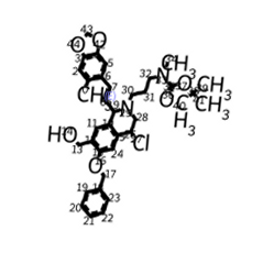 Cc1cc2c(cc1/C=C/C1c3cc(CO)c(OCc4ccccc4)cc3C(Cl)CN1CCCN(C)C(=O)OC(C)(C)C)OCO2